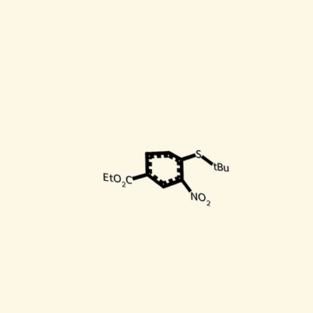 CCOC(=O)c1ccc(SC(C)(C)C)c([N+](=O)[O-])c1